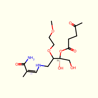 COCCOC(CN/C=C(/C)C(N)=O)[C@](O)(CO)OC(=O)CCC(C)=O